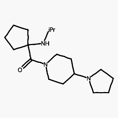 CC(C)NC1(C(=O)N2CCC(N3CCCC3)CC2)CCCC1